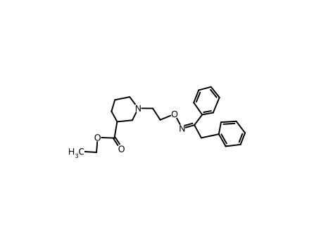 CCOC(=O)C1CCCN(CCON=C(Cc2ccccc2)c2ccccc2)C1